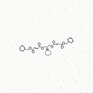 O=C(/C=C/C(=O)OCC(COC(=O)/C=C/C(=O)OCc1ccccc1)N1CCCCC1)OCc1ccccc1